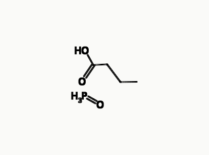 CCCC(=O)O.O=[PH3]